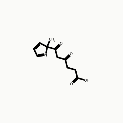 CC1(C(=O)CC(=O)CCC(=O)O)C=CC=N1